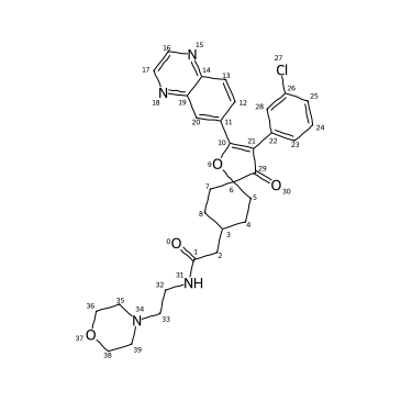 O=C(CC1CCC2(CC1)OC(c1ccc3nccnc3c1)=C(c1cccc(Cl)c1)C2=O)NCCN1CCOCC1